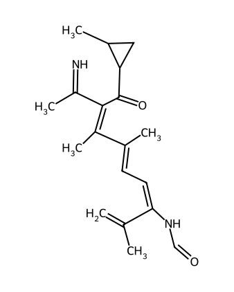 C=C(C)\C(=C/C=C(C)/C(C)=C(/C(C)=N)C(=O)C1CC1C)NC=O